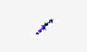 CC(C)(N)C(=O)N1CCN(C(=O)Nc2ccn(-c3ccc(CNC4CCC(N)CC4)c(Cl)c3)c(=O)n2)CC1.Cl